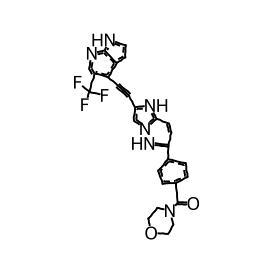 N=C(/C=C\c1ncc(C#Cc2c(C(F)(F)F)cnc3[nH]ccc23)[nH]1)c1ccc(C(=O)N2CCOCC2)cc1